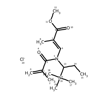 C=C(C)C(=O)N(C=C(C)C(=O)OC)C(CC)[N+](C)(C)C.[Cl-]